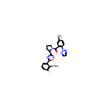 COc1c(F)cccc1-c1nc(C2CCCN2C(=O)c2cc(C)ccc2-n2nccn2)no1